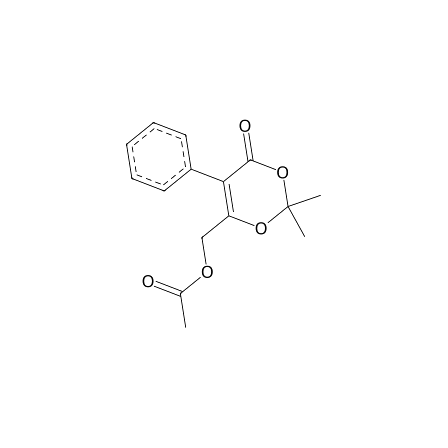 CC(=O)OCC1=C(c2ccccc2)C(=O)OC(C)(C)O1